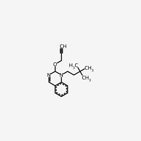 C#CCOC1N=Cc2ccccc2N1CCC(C)(C)C